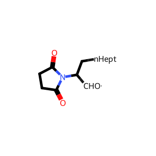 CCCCCCCCC([C]=O)N1C(=O)CCC1=O